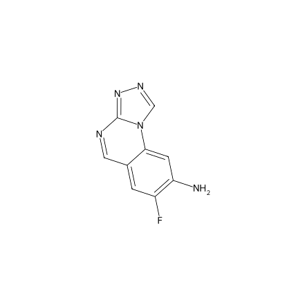 Nc1cc2c(cnc3nncn32)cc1F